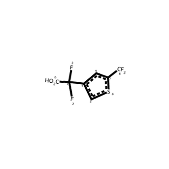 O=C(O)C(F)(F)c1csc(C(F)(F)F)c1